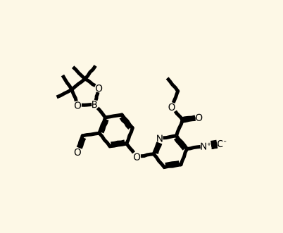 [C-]#[N+]c1ccc(Oc2ccc(B3OC(C)(C)C(C)(C)O3)c(C=O)c2)nc1C(=O)OCC